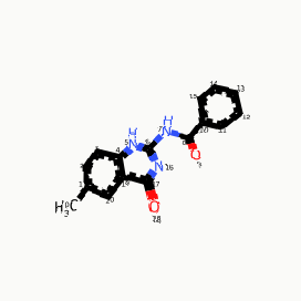 Cc1ccc2[nH]c(NC(=O)c3ccccc3)nc(=O)c2c1